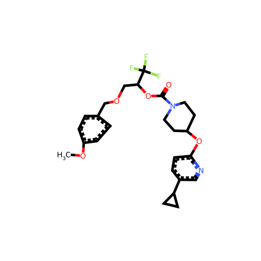 COc1ccc(COCC(OC(=O)N2CCC(Oc3ccc(C4CC4)cn3)CC2)C(F)(F)F)cc1